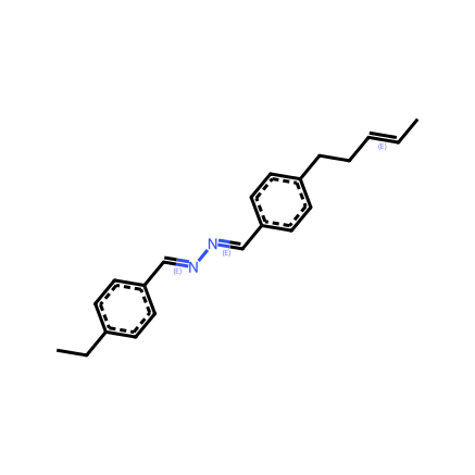 C/C=C/CCc1ccc(/C=N/N=C/c2ccc(CC)cc2)cc1